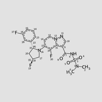 CN(C)S(=O)(=O)NC(=O)c1cnn2ccc(N3C[C@@H](F)C[C@@H]3c3cccc(F)c3)c(F)c12